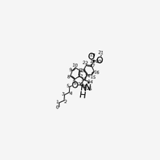 CCCCCCOc1ccccc1C1(c2ccc(C(=O)OC)cc2)C=NNC1